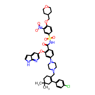 CC1(C)CCC(CN2CCN(c3ccc(C(=O)NS(=O)(=O)c4ccc(OCC5CCOCC5)c([N+](=O)[O-])c4)c(Oc4cnc5[nH]ccc5c4)c3)CC2)=C(c2ccc(Cl)cc2)C1